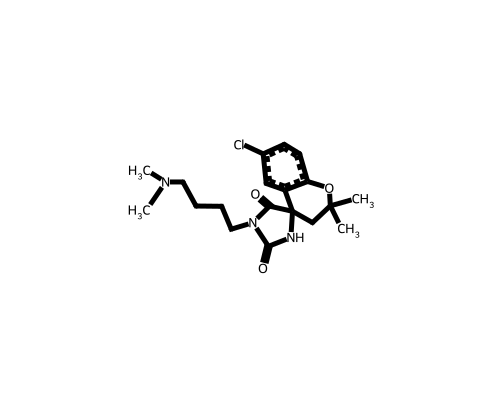 CN(C)CCCCN1C(=O)NC2(CC(C)(C)Oc3ccc(Cl)cc32)C1=O